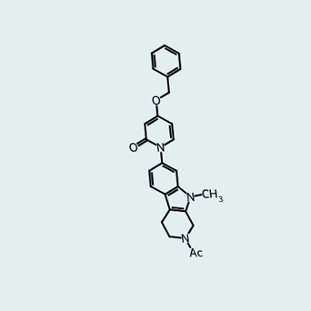 CC(=O)N1CCc2c(n(C)c3cc(-n4ccc(OCc5ccccc5)cc4=O)ccc23)C1